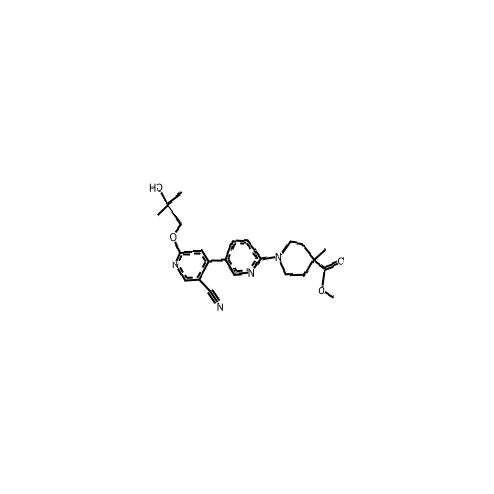 COC(=O)C1(C)CCN(c2ccc(-c3cc(OCC(C)(C)O)ncc3C#N)cn2)CC1